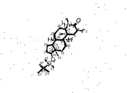 CN1C(=O)[C@@H](F)C[C@]2(C)[C@H]3CC[C@]4(C)[C@@H](O[Si](C)(C)C(C)(C)C)CC[C@H]4[C@@H]3CC[C@@H]12